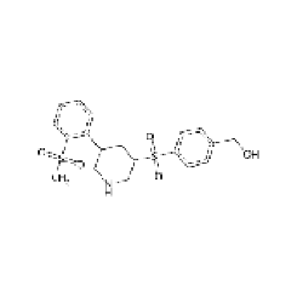 CS(=O)(=O)c1ccccc1C1CNCC(S(=O)(=O)c2ccc(CO)cc2)C1